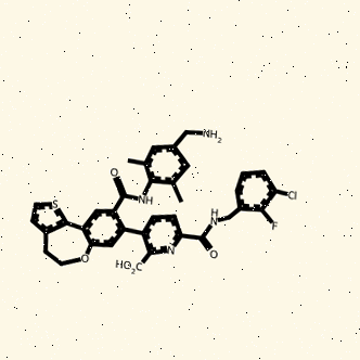 Cc1cc(CN)cc(C)c1NC(=O)c1cc2c(cc1-c1ccc(C(=O)NCc3cccc(Cl)c3F)nc1C(=O)O)OCCc1ccsc1-2